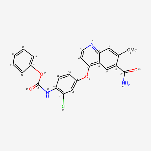 COc1cc2nccc(Oc3ccc(NC(=O)Oc4ccccc4)c(Cl)c3)c2cc1C(N)=O